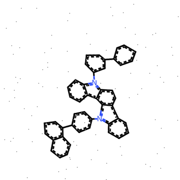 c1ccc(-c2cccc(-n3c4ccccc4c4c3ccc3c5ccccc5n(-c5ccc(-c6cccc7ccccc67)cc5)c34)c2)cc1